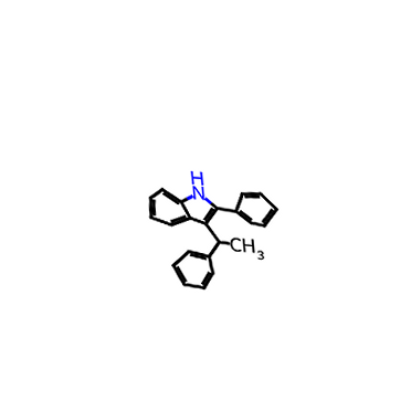 CC(c1ccccc1)c1c(-c2ccccc2)[nH]c2ccccc12